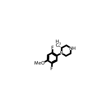 COc1cc(F)c(N2CCNC[C@H]2C)cc1F